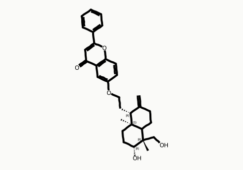 C=C1CCC2[C@](C)(CO)[C@H](O)CC[C@@]2(C)[C@@H]1CCOc1ccc2oc(-c3ccccc3)cc(=O)c2c1